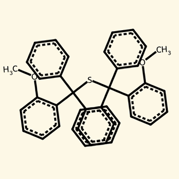 COc1ccccc1C(SC(c1ccccc1)(c1ccccc1)c1ccccc1OC)(c1ccccc1)c1ccccc1